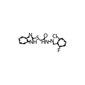 O=C(CSc1nc2ccccc2[nH]1)N/N=C/c1c(F)cccc1Cl